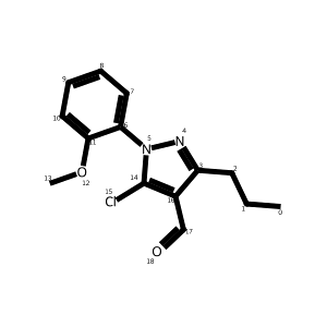 CCCc1nn(-c2ccccc2OC)c(Cl)c1C=O